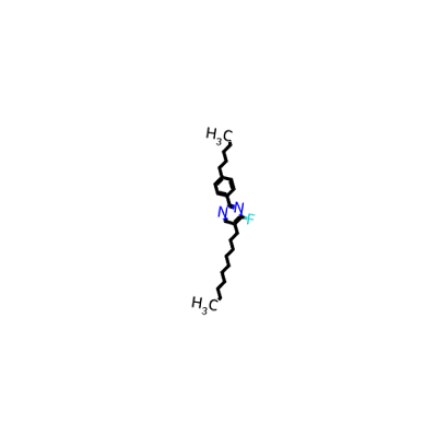 CCCCCCCCCCc1cnc(-c2ccc(CCCCC)cc2)nc1F